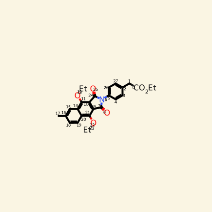 CCOC(=O)Cc1ccc(N2C(=O)c3c(c(OCC)c4cc(C)ccc4c3OCC)C2=O)cc1